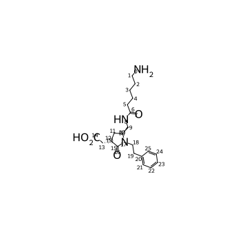 NCCCCCC(=O)NC[C@@H]1C[C@@H](CC(=O)O)C(=O)N1CCc1ccccc1